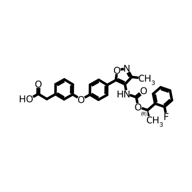 Cc1noc(-c2ccc(Oc3cccc(CC(=O)O)c3)cc2)c1NC(=O)O[C@H](C)c1ccccc1F